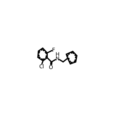 O=C(NCc1ccccc1)c1c(F)cccc1Cl